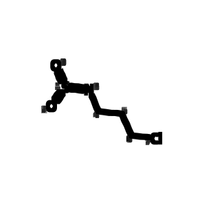 O=S(=O)=NCCCCl